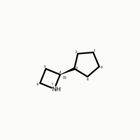 C1CCC([C@@H]2CCN2)C1